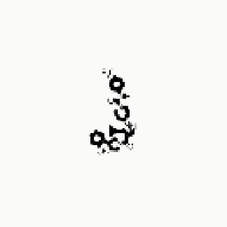 O=C(Nc1ccc(C(F)(F)F)cc1)N1CCC(n2ncc(C(=O)N3CCC(c4ccccc4C(F)(F)F)C3)c2C2CC2)CC1